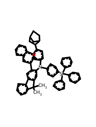 CC1(C)c2ccccc2-c2cc(-c3ccc4ccccc4c3)c(N(c3ccc(C4CC5CCC4C5)cc3)c3ccc([Si](c4ccccc4)(c4ccccc4)c4ccccc4)cc3)cc21